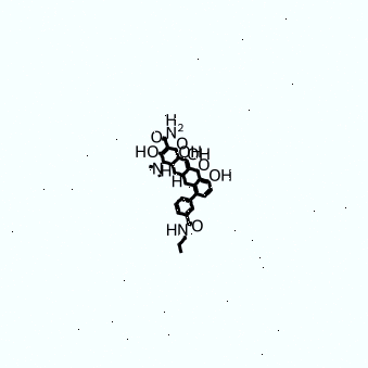 CCCNC(=O)c1cccc(-c2ccc(O)c3c2C[C@H]2C[C@H]4[C@H](N(C)C)C(O)=C(C(N)=O)C(=O)[C@@]4(O)C(O)=C2C3=O)c1